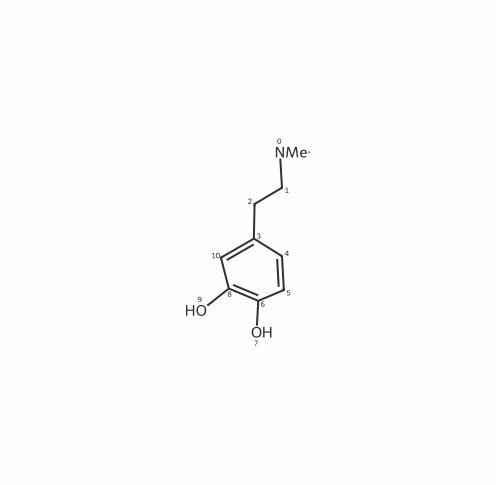 C[N]CCc1ccc(O)c(O)c1